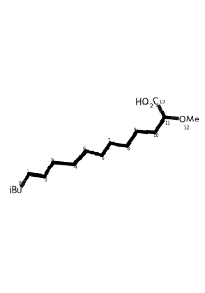 CCC(C)CCCCCCCCCCC(OC)C(=O)O